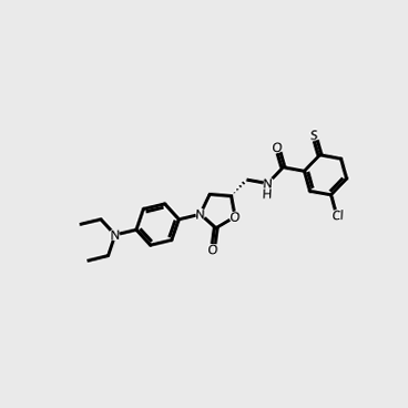 CCN(CC)c1ccc(N2C[C@H](CNC(=O)C3=CC(Cl)=CCC3=S)OC2=O)cc1